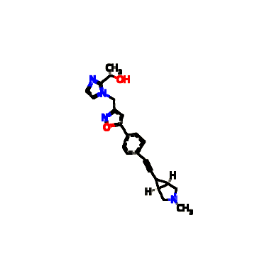 C[C@H](O)c1nccn1Cc1cc(-c2ccc(C#CC3[C@H]4CN(C)C[C@@H]34)cc2)on1